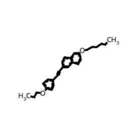 CCCCCCOc1ccc2cc(C#Cc3ccc(OCCC)cc3)ccc2c1